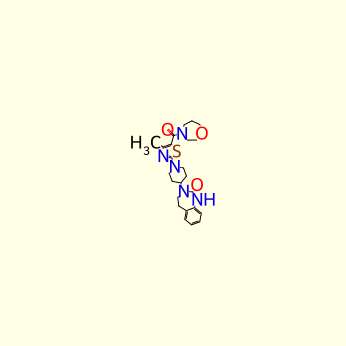 Cc1nc(N2CCC(N3CCc4ccccc4NC3=O)CC2)sc1C(=O)N1CCCOCC1